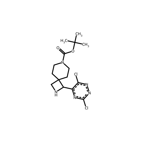 CC(C)(C)OC(=O)N1CCC2(CC1)CNC2c1nc(Cl)nnc1Cl